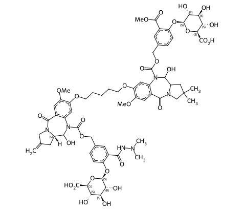 C=C1C[C@H]2C(O)N(C(=O)OCc3ccc(O[C@@H]4O[C@H](C(=O)O)[C@@H](O)[C@H](O)[C@H]4O)c(C(=O)NN(C)C)c3)c3cc(OCCCCCOc4cc5c(cc4OC)C(=O)N4CC(C)(C)CC4C(O)N5C(=O)OCc4ccc(O[C@@H]5O[C@H](C(=O)O)[C@@H](O)[C@H](O)[C@H]5O)c(C(=O)OC)c4)c(OC)cc3C(=O)N2C1